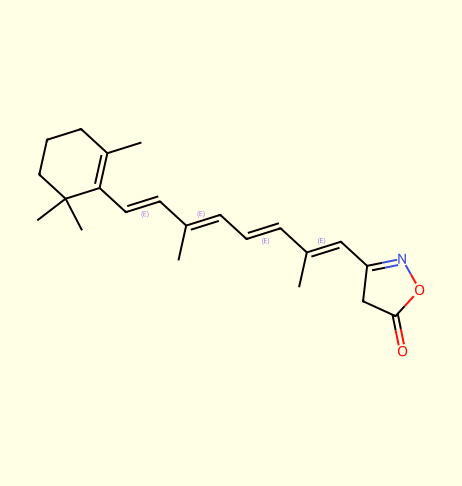 CC1=C(/C=C/C(C)=C/C=C/C(C)=C/C2=NOC(=O)C2)C(C)(C)CCC1